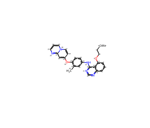 COCCOc1cccc2ncnc(Nc3ccc(OC4=CC5=NC=C=CN5C=C4)c(C)c3)c12